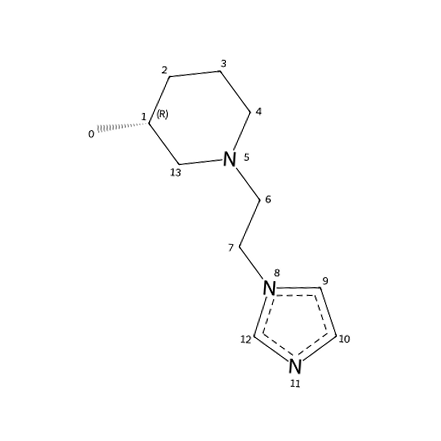 C[C@@H]1CCCN(CCn2ccnc2)C1